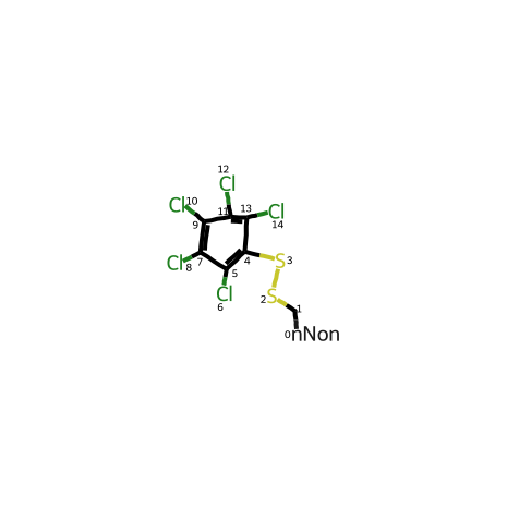 CCCCCCCCCCSSc1c(Cl)c(Cl)c(Cl)c(Cl)c1Cl